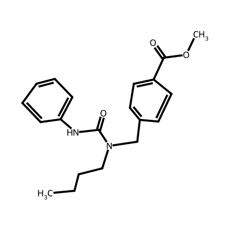 CCCCN(Cc1ccc(C(=O)OC)cc1)C(=O)Nc1ccccc1